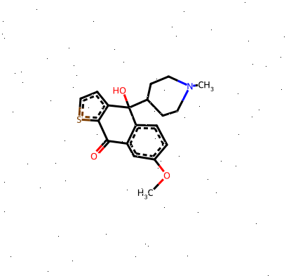 COc1ccc2c(c1)C(=O)c1sccc1C2(O)C1CCN(C)CC1